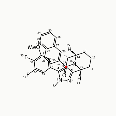 COc1cc(-c2c3c(nn2C)[C@H]2CCC[C@@H](C3)N2C(=O)c2ccc3ncccc3c2)cc(F)c1F